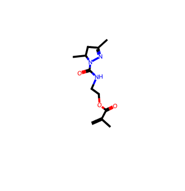 C=C(C)C(=O)OCCNC(=O)N1N=C(C)CC1C